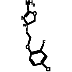 NC1=N[C@@H](CCOc2ccc(Cl)cc2F)CO1